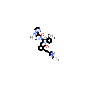 Cc1cccc(-n2c(C(C)NC(=O)c3c(C)nn4cccnc34)cc3cccc(C#Cc4cnn(C)c4)c3c2=O)c1